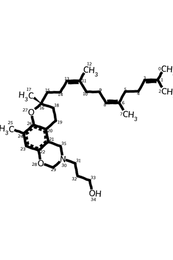 CC(C)=CCCC(C)=CCCC(C)=CCC[C@]1(C)CCc2c3c(cc(C)c2O1)OCN(CCCO)C3